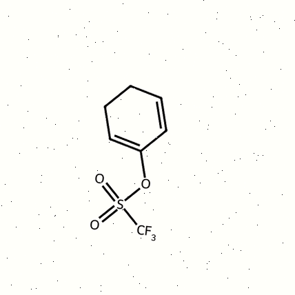 O=S(=O)(OC1=CCCC=C1)C(F)(F)F